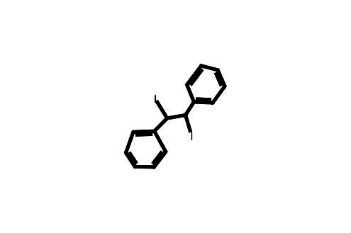 IC(c1ccccc1)C(I)c1ccccc1